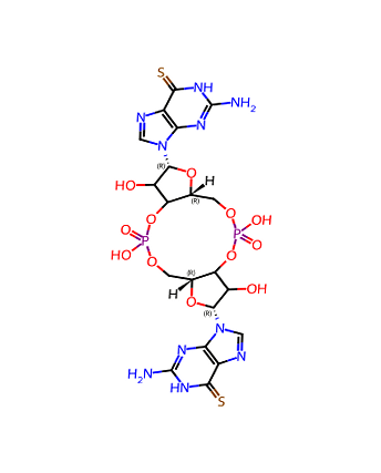 Nc1nc2c(ncn2[C@@H]2O[C@@H]3COP(=O)(O)OC4C(O)[C@H](n5cnc6c(=S)[nH]c(N)nc65)O[C@@H]4COP(=O)(O)OC3C2O)c(=S)[nH]1